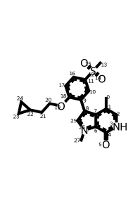 Cc1c[nH]c(=O)c2c1c(-c1cc(S(C)(=O)=O)ccc1OCCC1CC1)cn2C